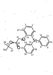 Cc1cccc([S+](c2ccccc2)c2ccccc2)c1OCC(=O)OC(C)(C)C